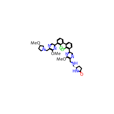 COc1nc(-c2cccc(-c3cccc(-c4cnc(CN5CC[C@H](OC)C5)c(OC)n4)c3Cl)c2Cl)cnc1CNC[C@@H]1CCC(=O)N1